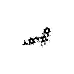 CC(=O)Nc1ccc(CC(=O)Nc2c(N)[nH]c(=O)n(Cc3ccccc3)c2=O)cc1